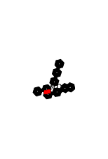 c1ccc(-c2ccc(-c3ccc(N(c4ccc(-c5ccccc5)cc4)c4c(-c5ccccc5)ccc5c4oc4cc6ccccc6cc45)cc3)cc2)cc1